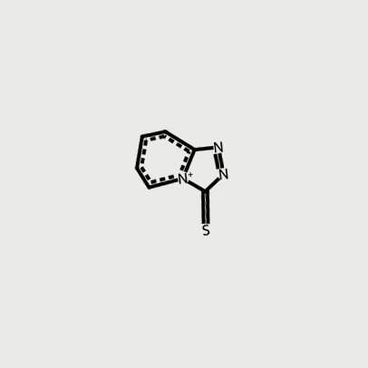 S=C1N=Nc2cccc[n+]21